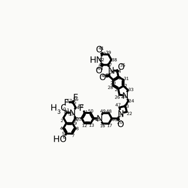 C[C@@H]1Cc2cc(O)ccc2[C@@H](c2ccc(N3CCC(C(=O)N4CC(CN5Cc6cc7c(cc6C5)C(=O)N(C5CCC(=O)NC5=O)C7=O)C4)CC3)cc2F)N1CC(F)F